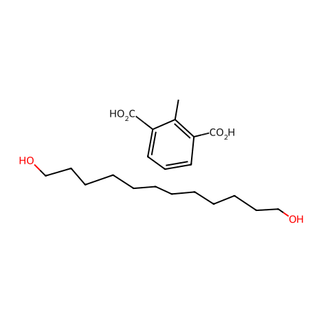 Cc1c(C(=O)O)cccc1C(=O)O.OCCCCCCCCCCCCO